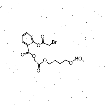 O=C(COC(=O)c1ccccc1OC(=O)CBr)OCCCCO[N+](=O)[O-]